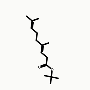 CC(C)=CCC/C(C)=C/CC(=O)OC(C)(C)C